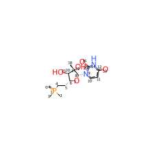 C=P(C)(C)CC[C@H]1O[C@@H](n2ccc(=O)[nH]c2=O)[C@@](C)(O)[C@@H]1O